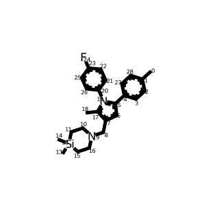 Cc1ccc(-c2cc(CN3CC[Si](C)(C)CC3)c(C)n2-c2ccc(F)cc2)cc1